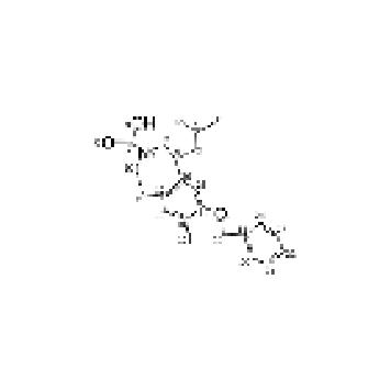 CC(C)CC1CN(C(=O)O)CCc2cc(I)c(OCc3ccccc3)cc21